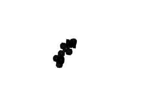 c1ccc2c(c1)oc1c(-c3ccc(-c4c5ccccc5c(-c5cn6ccccc6n5)c5ccccc45)cc3)cccc12